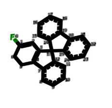 FC1=CC2=C(CC1)c1ccccc1C21c2ccccc2-c2ccccc21